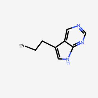 CC(C)CCc1c[nH]c2ncncc12